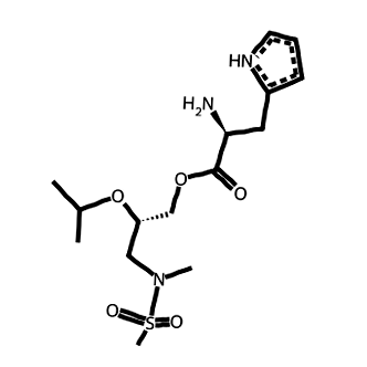 CC(C)O[C@H](COC(=O)[C@@H](N)Cc1ccc[nH]1)CN(C)S(C)(=O)=O